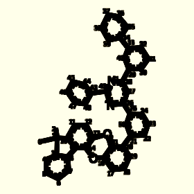 CC1(C)c2ccccc2-c2c1ccc1c2Oc2cccc(-c3cccc(-c4cc(-c5cccc(-c6ccccc6)c5)nc(-c5ccccc5)n4)c3)c2O1